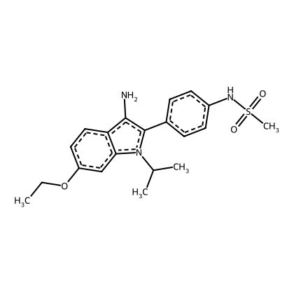 CCOc1ccc2c(N)c(-c3ccc(NS(C)(=O)=O)cc3)n(C(C)C)c2c1